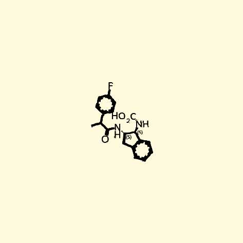 CC(C(=O)N[C@H]1Cc2ccccc2[C@@H]1NC(=O)O)c1ccc(F)cc1